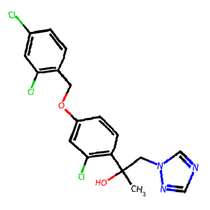 CC(O)(Cn1cncn1)c1ccc(OCc2ccc(Cl)cc2Cl)cc1Cl